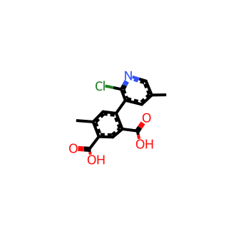 Cc1cnc(Cl)c(-c2cc(C)c(C(=O)O)cc2C(=O)O)c1